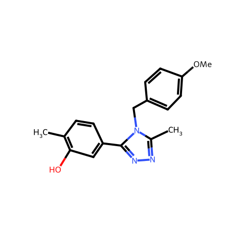 COc1ccc(Cn2c(C)nnc2-c2ccc(C)c(O)c2)cc1